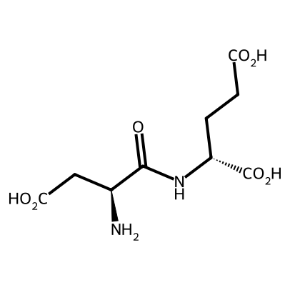 N[C@@H](CC(=O)O)C(=O)N[C@H](CCC(=O)O)C(=O)O